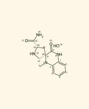 CN1c2ccccc2NC(=O)[C@@]12CN[C@H](C(N)=O)C2.Cl